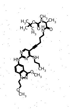 CCCNc1nc(Nc2ccc3c(c2)c(OC)nn3CCOC)ncc1C#CCCCNC(=O)[C@H](C)N(C)C(=O)OC(C)(C)C